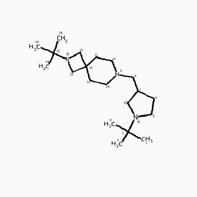 CC(C)(C)N1CCC(CN2CCC3(CC2)CN(C(C)(C)C)C3)C1